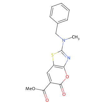 COC(=O)c1cc2sc(N(C)Cc3ccccc3)nc2oc1=O